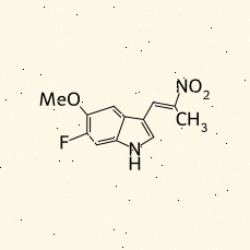 COc1cc2c(C=C(C)[N+](=O)[O-])c[nH]c2cc1F